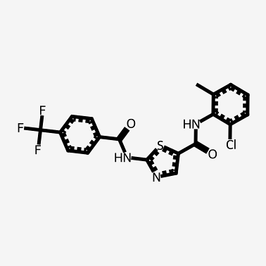 Cc1cccc(Cl)c1NC(=O)c1cnc(NC(=O)c2ccc(C(F)(F)F)cc2)s1